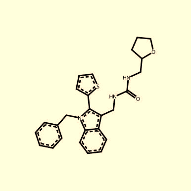 O=C(NCc1c(-c2cccs2)n(Cc2ccccc2)c2ccccc12)NCC1CCCO1